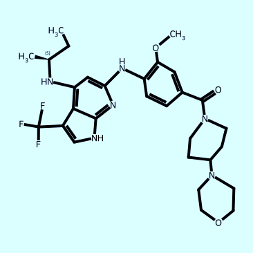 CC[C@H](C)Nc1cc(Nc2ccc(C(=O)N3CCC(N4CCOCC4)CC3)cc2OC)nc2[nH]cc(C(F)(F)F)c12